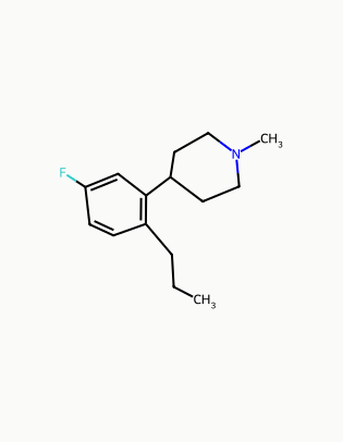 CCCc1ccc(F)cc1C1CCN(C)CC1